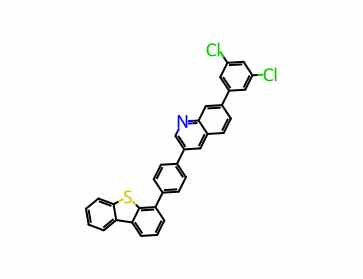 Clc1cc(Cl)cc(-c2ccc3cc(-c4ccc(-c5cccc6c5sc5ccccc56)cc4)cnc3c2)c1